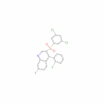 O=S(=O)(c1cc(Cl)cc(Cl)c1)c1cnc2cc(F)ccc2c1-c1ccccc1F